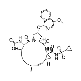 COc1cnc(O[C@@H]2C[C@H]3C(=O)N[C@]4(C(=O)NS(=O)(=O)C5CC5)C[C@H]4C=C[C@@H](C)CCC[C@@H](C)[C@H](NC(=O)O)C(=O)N3C2)c2ccccc12